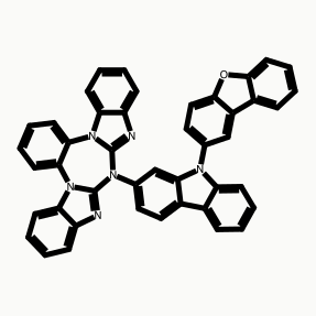 c1ccc2c(c1)nc1n(-c3ccc4c5ccccc5n(-c5ccc6oc7ccccc7c6c5)c4c3)c3nc4ccccc4n3c3ccccc3n21